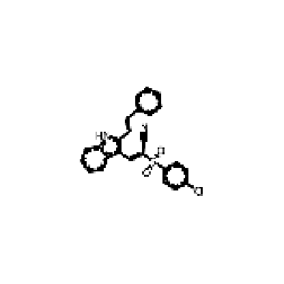 N#C/C(=C\c1c(C=Cc2ccccc2)[nH]c2ccccc12)S(=O)(=O)c1ccc(Cl)cc1